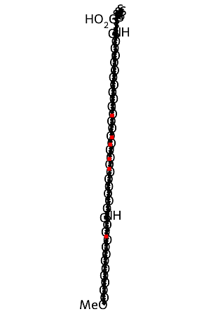 COCCOCCOCCOCCOCCOCCOCCOCCOCCOCCOCCOCCC(=O)NCCOCCOCCOCCOCCOCCOCCOCCOCCOCCOCCOCCOCCOCCOCCOCCOCCOCCOCCOCCOCCOCCOCCOCCOCCC(=O)NCCCC[C@@H](C(=O)O)C1SSC2(SS1)SS2